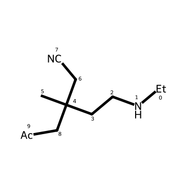 CCNCCC(C)(CC#N)CC(C)=O